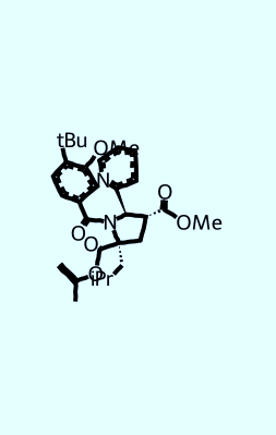 C=C(C)OC(=O)[C@]1(CC(C)C)C[C@@H](C(=O)OC)[C@H](c2ccccn2)N1C(=O)c1ccc(C(C)(C)C)c(OC)c1